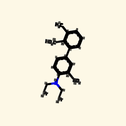 Cc1cccc(-c2ccc(N(CC(C)C)CC(C)C)c([N+](=O)[O-])c2)c1C(=O)O